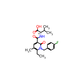 CCc1c(C)cc(C(=O)N[C@H](C(=O)O)C(C)C)c(=O)n1Cc1ccc(F)cc1